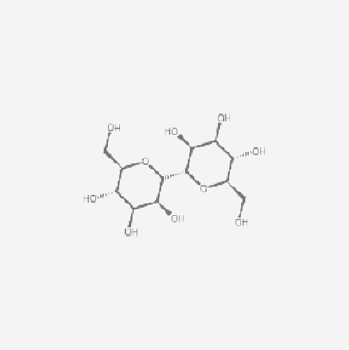 OC[C@H]1O[C@H]([C]2O[C@H](CO)[C@@H](O)[C@H](O)[C@@H]2O)[C@@H](O)[C@@H](O)[C@@H]1O